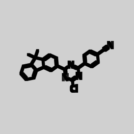 CC1(C)c2ccccc2-c2cc(-c3nc(Cl)nc(-c4ccc(C#N)cc4)n3)ccc21